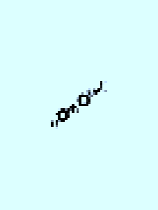 COc1ccc(C=Nc2ccc(OCC3CO3)cc2)cc1